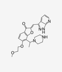 COCCOc1ccc2c(c1C(C)N1CCNCC1)OC(=Cc1n[nH]c3ncccc13)C2=O